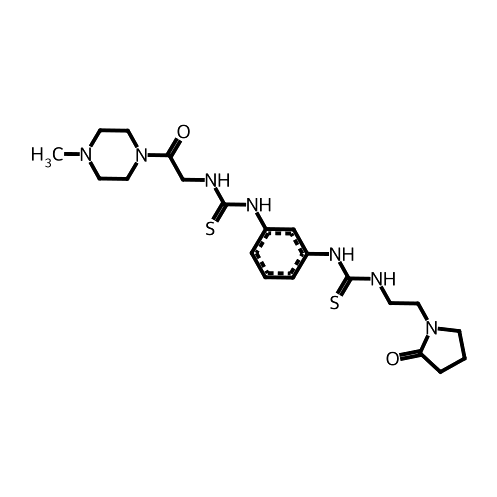 CN1CCN(C(=O)CNC(=S)Nc2cccc(NC(=S)NCCN3CCCC3=O)c2)CC1